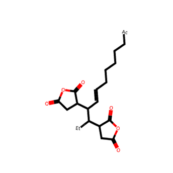 CCC(C1CC(=O)OC1=O)C(/C=C/CCCCCC(C)=O)C1CC(=O)OC1=O